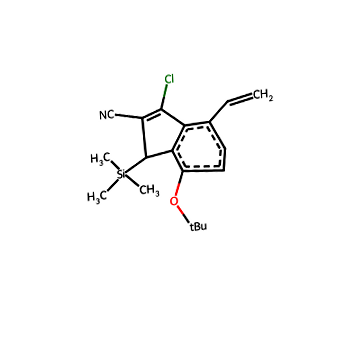 C=Cc1ccc(OC(C)(C)C)c2c1C(Cl)=C(C#N)C2[Si](C)(C)C